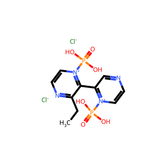 CCc1ncc[n+](P(=O)(O)O)c1-c1cncc[n+]1P(=O)(O)O.[Cl-].[Cl-]